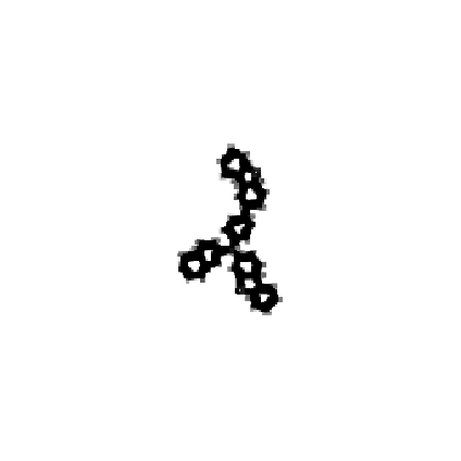 c1ccc2cc(N(c3ccc(-c4ccc5oc6ccccc6c5c4)cc3)c3ccc4c(c3)oc3ccccc34)ccc2c1